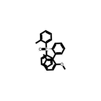 COc1cccc(C)c1-c1ccccc1[P@@](=O)(c1ccccc1)c1ccccc1C